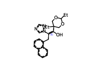 CCC1OCC(CC)(/C(O)=C(/Cc2cccc3ccccc23)n2cncn2)CO1